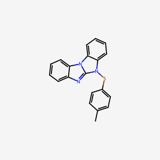 Cc1ccc(Sn2c3ccccc3n3c4ccccc4nc23)cc1